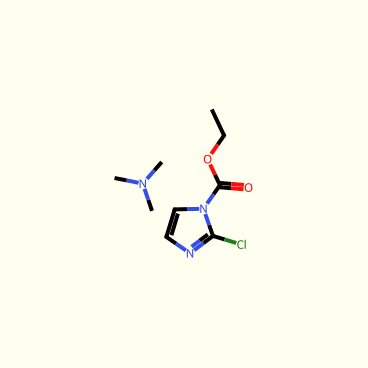 CCOC(=O)n1ccnc1Cl.CN(C)C